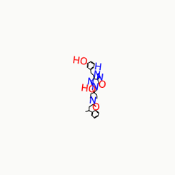 CC(CC(=O)N1CCC(O)(Cn2cnc3c(Cc4cccc(O)c4)[nH]nc3c2=O)CC1)c1ccccc1